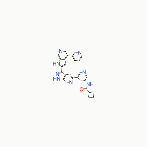 O=C(Nc1cncc(-c2cc3c(-c4cc5c(-c6cccnc6)cncc5[nH]4)n[nH]c3cn2)c1)C1CCC1